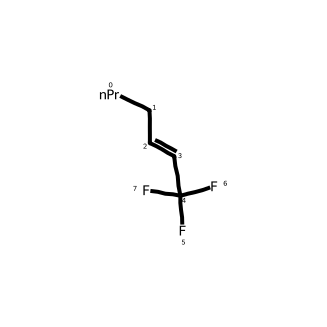 CCCCC=CC(F)(F)F